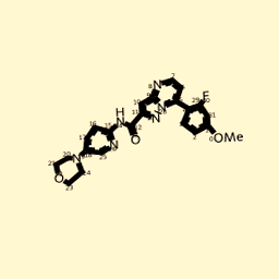 COc1ccc(-c2ccnc3cc(C(=O)Nc4ccc(N5CCOCC5)cn4)nn23)c(F)c1